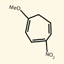 COC1=CC=C([N+](=O)[O-])C=CC1